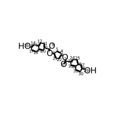 O=C(Oc1ccc(OC(=O)c2ccc3cc(O)ccc3c2)cc1)c1ccc2cc(O)ccc2c1